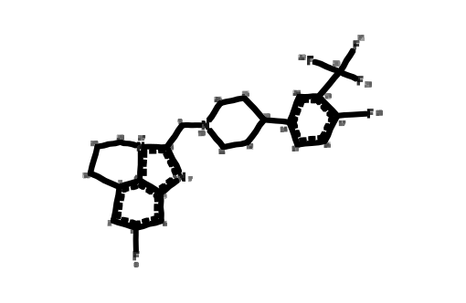 Fc1cc2c3c(c1)nc(CN1CCC(c4ccc(F)c(C(F)(F)F)c4)CC1)n3CCC2